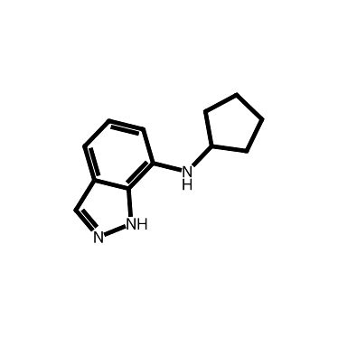 c1cc(NC2CCCC2)c2[nH]ncc2c1